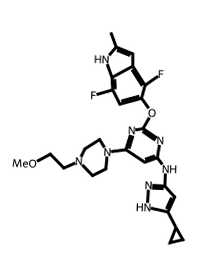 COCCN1CCN(c2cc(Nc3cc(C4CC4)[nH]n3)nc(Oc3cc(F)c4[nH]c(C)cc4c3F)n2)CC1